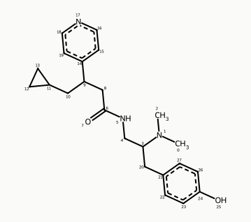 CN(C)C(CNC(=O)CC(CC1CC1)c1ccncc1)Cc1ccc(O)cc1